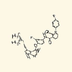 CN(C)CC#Cc1c[nH]c2ncnc(Oc3ccc(NC(=O)c4cccn(-c5ccc(F)cc5)c4=O)cc3F)c12